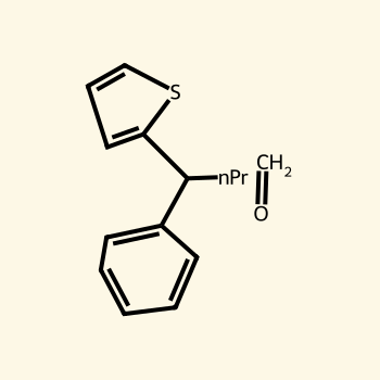 C=O.CCCC(c1ccccc1)c1cccs1